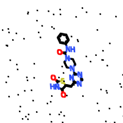 O=C1NC(=O)C(=Cc2ncnc(N3CCN(C(=O)Nc4ccccc4)CC3)n2)S1